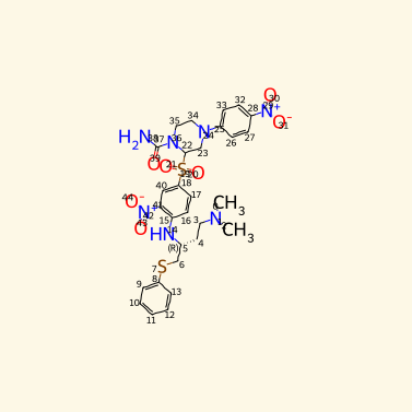 CN(C)CC[C@H](CSc1ccccc1)Nc1ccc(S(=O)(=O)C2CN(c3ccc([N+](=O)[O-])cc3)CCN2C(N)=O)cc1[N+](=O)[O-]